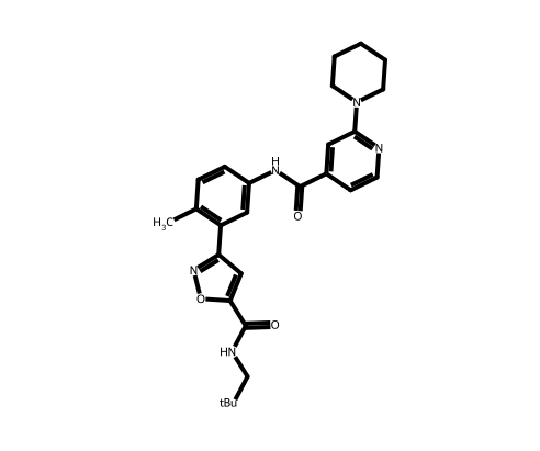 Cc1ccc(NC(=O)c2ccnc(N3CCCCC3)c2)cc1-c1cc(C(=O)NCC(C)(C)C)on1